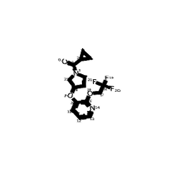 O=C(C1CC1)N1CCC(Oc2cccnc2OCC(F)(F)F)C1